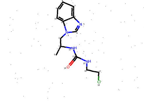 CC(Cn1cnc2ccccc21)NC(=O)NCCCl